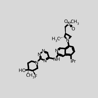 CC(C)c1ccc(N2C[C@H](CS(C)(=O)=O)[C@H]2C)c2cnc(Nc3cnnc(N4CC[C@](C)(O)[C@H](F)C4)n3)cc12